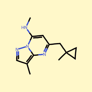 CNc1cc(CC2(C)CC2)nc2c(C)cnn12